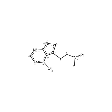 CC(C)N(C)CCc1c[nH]c2nccc(O)c12